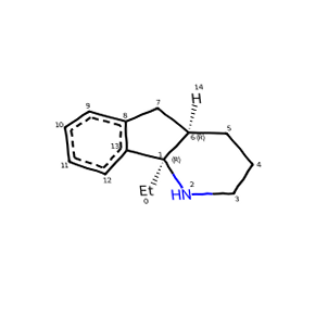 CC[C@@]12NCCC[C@@H]1Cc1ccccc12